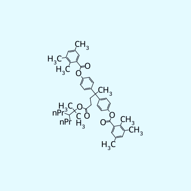 CCCC(CCC)C(C)(C)OC(=O)CCC(C)(c1ccc(OC(=O)c2cc(C)cc(C)c2C)cc1)c1ccc(OC(=O)c2cc(C)cc(C)c2C)cc1